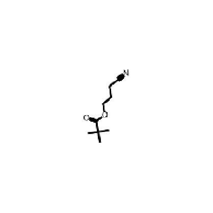 CC(C)(C)C(=O)OCCCC#N